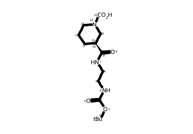 CC(C)(C)OC(=O)NCCNC(=O)[C@H]1CCCN(C(=O)O)C1